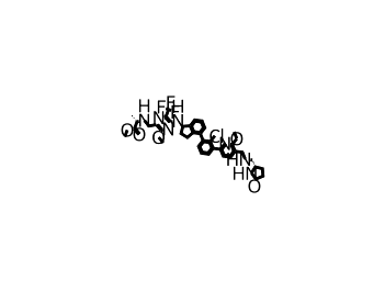 COC(=O)[C@H](C)NCc1nc(C(F)(F)F)c(N[C@H]2CCc3c(-c4cccc(-c5ccc(CNC[C@@H]6CCC(=O)N6)c(OC)n5)c4Cl)cccc32)nc1OC